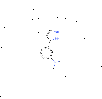 CN(C)c1cccc(C2C=CNN2)c1